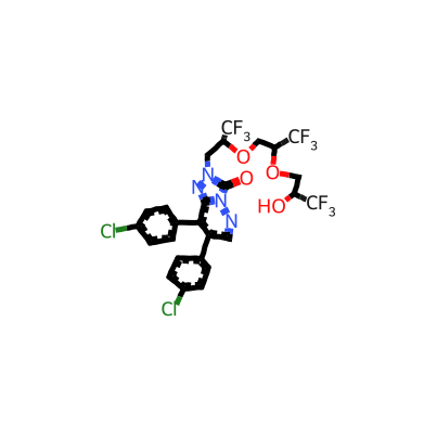 O=c1n(CC(OCC(OCC(O)C(F)(F)F)C(F)(F)F)C(F)(F)F)nc2c(-c3ccc(Cl)cc3)c(-c3ccc(Cl)cc3)cnn12